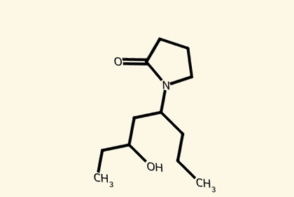 CCCC(CC(O)CC)N1CCCC1=O